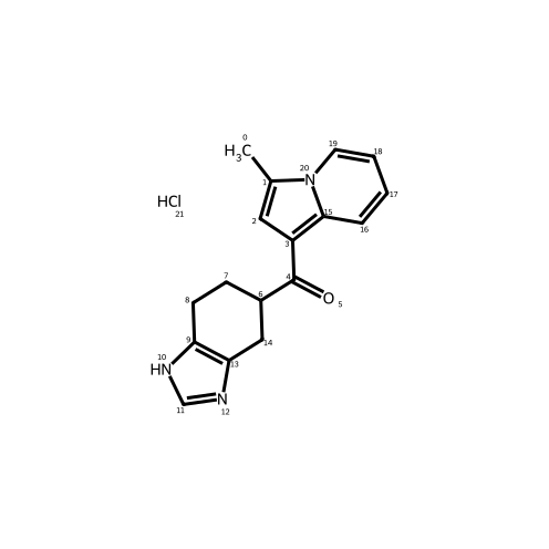 Cc1cc(C(=O)C2CCc3[nH]cnc3C2)c2ccccn12.Cl